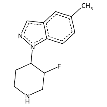 Cc1ccc2c(cnn2C2CCNCC2F)c1